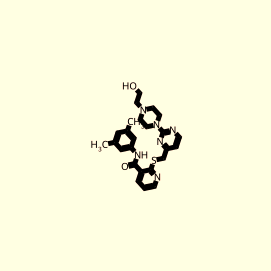 Cc1cc(C)cc(NC(=O)c2cccnc2SCc2ccnc(N3CCN(CCO)CC3)n2)c1